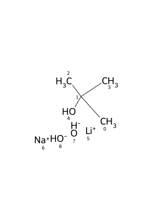 CC(C)(C)O.[Li+].[Na+].[OH-].[OH-]